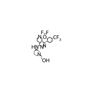 OCCN1CCC[C@@H](Nc2nnc(-c3ccc(C(F)(F)F)cc3OC(F)F)c3cnccc23)C1